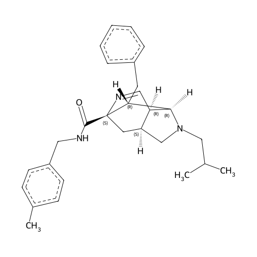 Cc1ccc(CNC(=O)[C@@]23C[C@@H]4CN(CC(C)C)[C@@H]([C@@H]4C=N2)[C@H]3Cc2ccccc2)cc1